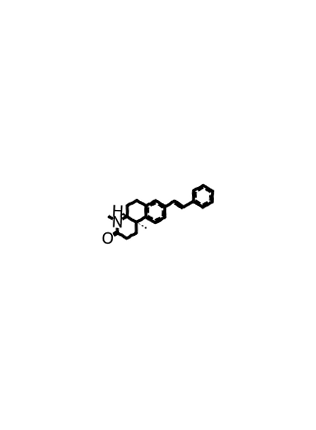 CN1C(=O)CC[C@]2(C)c3ccc(C=Cc4ccccc4)cc3CC[C@@H]12